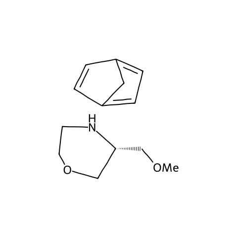 C1=CC2=CC=C1C2.COC[C@@H]1COCCN1